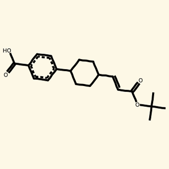 CC(C)(C)OC(=O)/C=C/C1CCC(c2ccc(C(=O)O)cc2)CC1